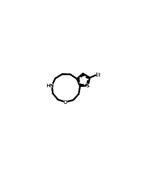 CCc1cc2c(s1)CCOCCNCCC2